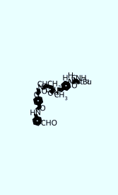 CN(CCOc1ccc(C(=O)CNCc2cccc(C=O)c2)cc1)C(=O)CC(C)(C)CC(=O)N(C)CCc1ccc(NC(=O)[C@](C)(N)CC(C)(C)C)cc1